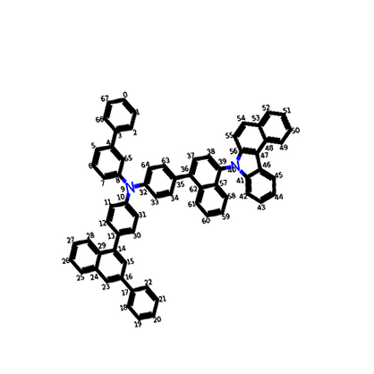 c1ccc(-c2cccc(N(c3ccc(-c4cc(-c5ccccc5)cc5ccccc45)cc3)c3ccc(-c4ccc(-n5c6ccccc6c6c7ccccc7ccc65)c5ccccc45)cc3)c2)cc1